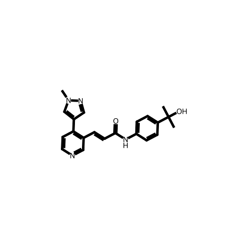 Cn1cc(-c2ccncc2C=CC(=O)Nc2ccc(C(C)(C)O)cc2)cn1